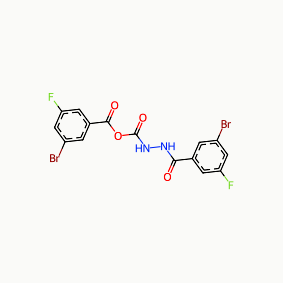 O=C(NNC(=O)c1cc(F)cc(Br)c1)OC(=O)c1cc(F)cc(Br)c1